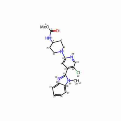 COC(=O)NC1CCN(c2cc(-c3nc4ccccc4n3C)c(Cl)cn2)CC1